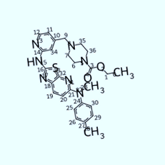 CCOC(=O)N1CCN(Cc2ccnc(Nc3nc4ccc(N(C)c5ccc(C)cc5)nc4s3)c2)CC1